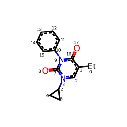 [CH2]Cc1cn(C2CC2)c(=O)n(-c2ccccc2)c1=O